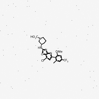 COc1cc(C(F)(F)F)cc(C)c1-c1cc(Cl)c2oc(N[C@@H]3CCCN(C(=O)O)C3)nc2n1